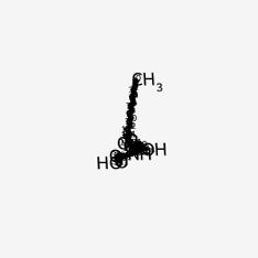 CCCCCCCCCCCCCCCCS(=O)(=O)Oc1ccc(O)cc1NCCCS(=O)(=O)O